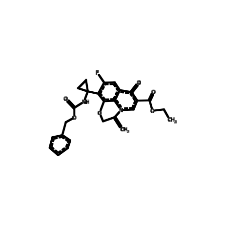 C=C1COc2c(C3(NC(=O)OCc4ccccc4)CC3)c(F)cc3c(=O)c(C(=O)OCC)cn1c23